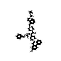 CC(C)(C)OC(=O)N1CCc2c(CN3CCN(C(=O)[C@H](NC(=O)OCc4ccccc4)C4CCN(CCc5cc(Cl)ccc5-c5ccccc5)CC4)CC3)cccc21